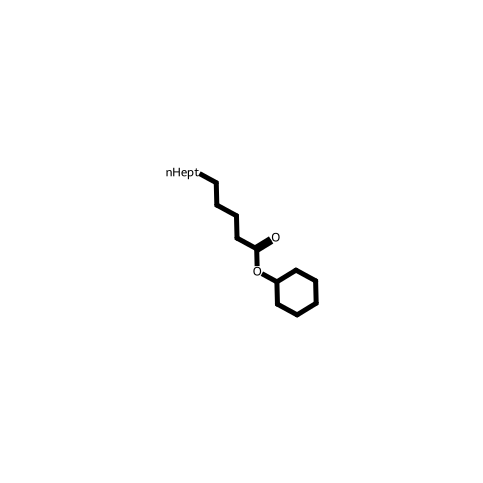 [CH2]CCCCCCCCCCC(=O)OC1CCCCC1